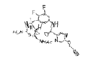 C#CCOc1cnc(C(=O)Nc2cc(F)c(F)c([C@]3(C)N=C(N)S[C@@]4(CNC(C)=O)C[C@H]43)c2)cn1